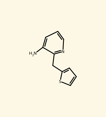 Nc1cccnc1Cc1cccs1